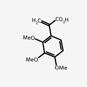 C=C(C(=O)O)c1ccc(OC)c(OC)c1OC